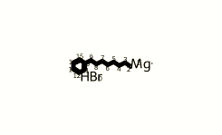 Br.[Mg][CH2]CCCCCCCc1ccccc1